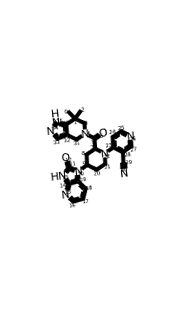 CC1(C)CN(C(=O)C2CC(n3c(=O)[nH]c4ncccc43)CCN2c2ccncc2C#N)Cc2cn[nH]c21